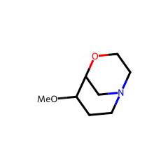 COC1CCN2CCOC1C2